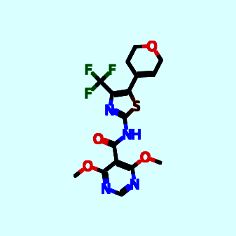 COc1ncnc(OC)c1C(=O)Nc1nc(C(F)(F)F)c(C2=CCOCC2)s1